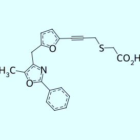 Cc1oc(-c2ccccc2)nc1Cc1ccc(C#CCSCC(=O)O)o1